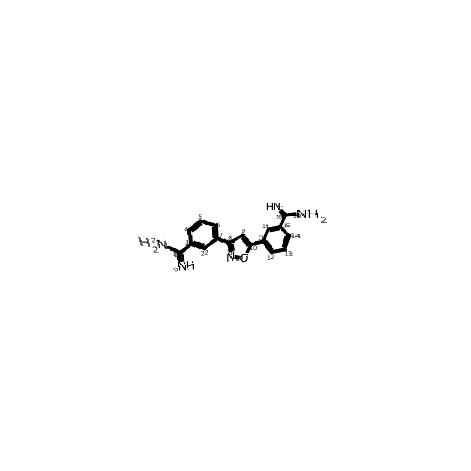 N=C(N)c1cccc(-c2cc(-c3cccc(C(=N)N)c3)on2)c1